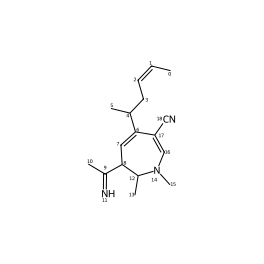 C/C=C\CC(C)C1=CC(C(C)=N)C(C)N(C)C=C1C#N